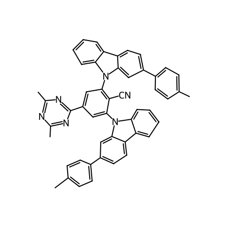 Cc1ccc(-c2ccc3c4ccccc4n(-c4cc(-c5nc(C)nc(C)n5)cc(-n5c6ccccc6c6ccc(-c7ccc(C)cc7)cc65)c4C#N)c3c2)cc1